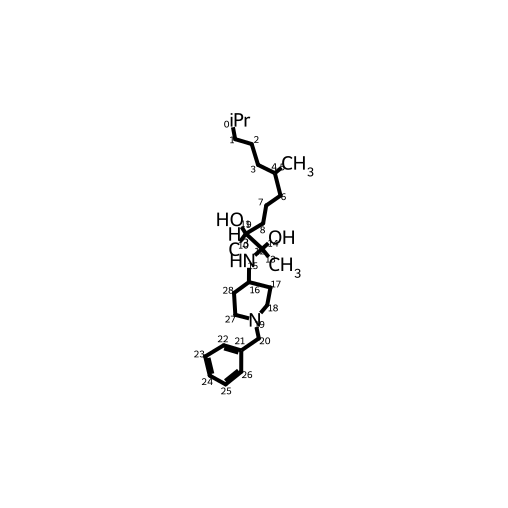 CC(C)CCCC(C)CCCC(C)(O)C(C)(O)NC1CCN(Cc2ccccc2)CC1